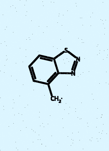 [CH2]c1cccc2snnc12